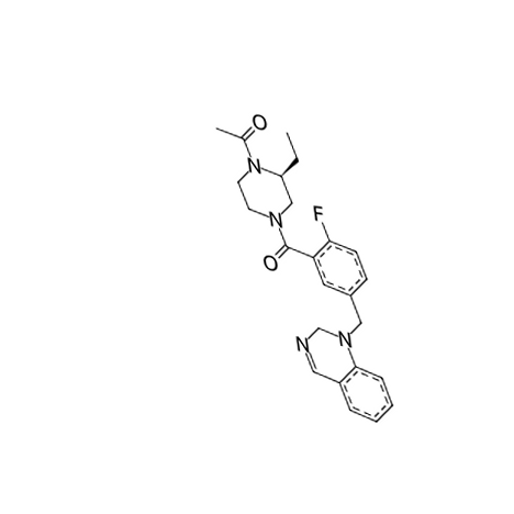 CC[C@H]1CN(C(=O)c2cc(CN3CN=Cc4ccccc43)ccc2F)CCN1C(C)=O